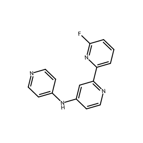 Fc1cccc(-c2cc(Nc3ccncc3)ccn2)n1